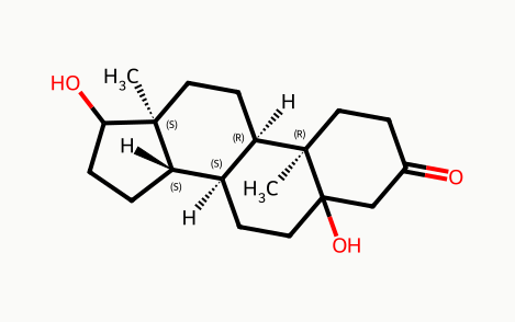 C[C@]12CC[C@@H]3[C@@H](CCC4(O)CC(=O)CC[C@]34C)[C@@H]1CCC2O